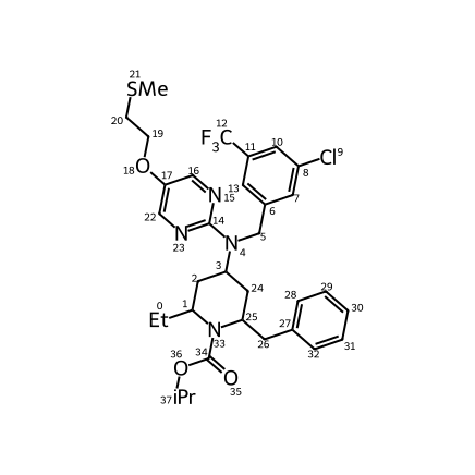 CCC1CC(N(Cc2cc(Cl)cc(C(F)(F)F)c2)c2ncc(OCCSC)cn2)CC(Cc2ccccc2)N1C(=O)OC(C)C